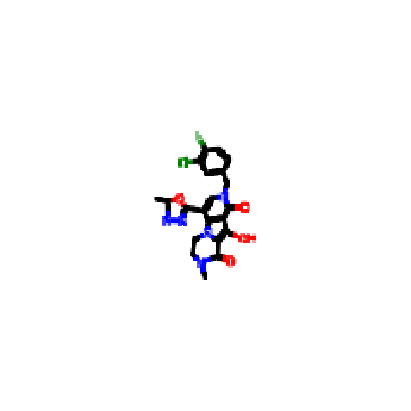 Cc1nnc(-c2cn(Cc3ccc(F)c(Cl)c3)c(=O)c3c(O)c4n(c23)CCN(C)C4=O)o1